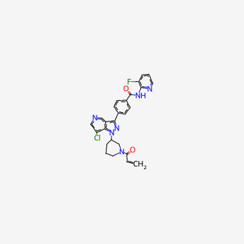 C=CC(=O)N1CCCC(n2nc(-c3ccc(C(=O)Nc4ncccc4F)cc3)c3cncc(Cl)c32)C1